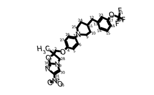 CC1(COc2ccc(N3CCC(Cc4cccc(OC(F)(F)F)c4)CC3)cc2)Cn2cc([N+](=O)[O-])nc2O1